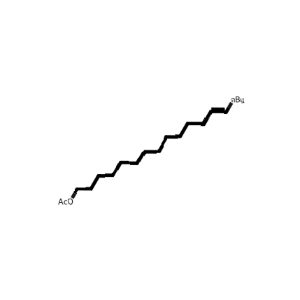 CCCCC=CCCCCCCCCCCCCOC(C)=O